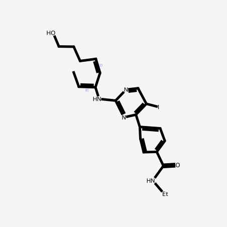 C/C=C(\C=C/CCCO)Nc1ncc(I)c(-c2ccc(C(=O)NCC)cc2)n1